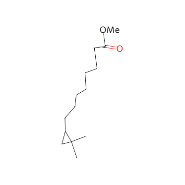 COC(=O)CCCCCCCC1CC1(C)C